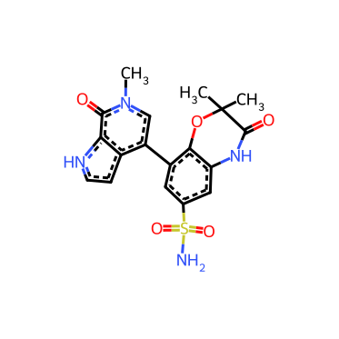 Cn1cc(-c2cc(S(N)(=O)=O)cc3c2OC(C)(C)C(=O)N3)c2cc[nH]c2c1=O